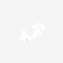 CN(C)C(C(=O)N1CCC[C@H]1c1ncc(-c2ccc(-c3ccc(-c4cnc([C@@H]5CCCN5C(=O)Cc5cccnc5)[nH]4)cc3)cc2)[nH]1)c1ccccc1